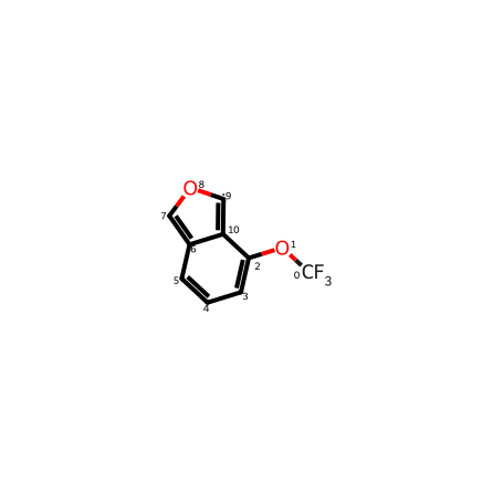 FC(F)(F)Oc1cccc2co[c]c12